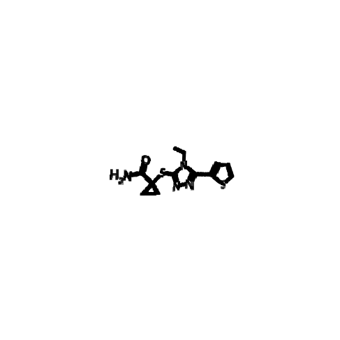 CCn1c(SC2(C(N)=O)CC2)nnc1-c1cccs1